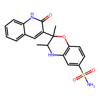 CC1Nc2cc(S(N)(=O)=O)ccc2OC1(C)c1cc2ccccc2[nH]c1=O